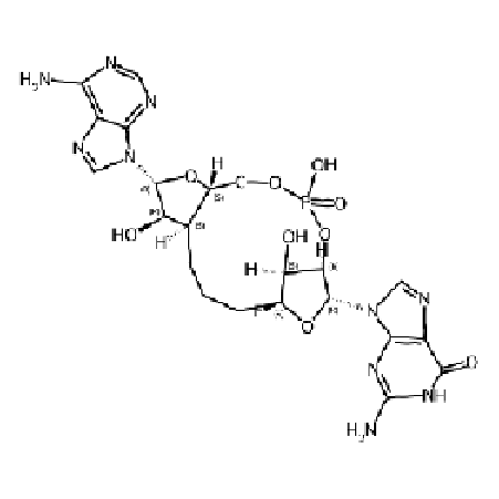 Nc1nc2c(ncn2[C@@H]2O[C@]3(F)CCC[C@H]4[C@@H](O)[C@H](n5cnc6c(N)ncnc65)O[C@@H]4COP(=O)(O)O[C@@H]2[C@@H]3O)c(=O)[nH]1